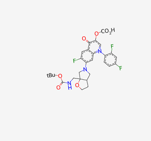 CC(C)(C)OC(=O)NCC12CN(c3cc4c(cc3F)c(=O)c(OC(=O)O)cn4-c3ccc(F)cc3F)CC1CCO2